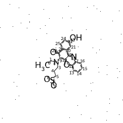 CCN(CCC=S(=O)=O)c1c2oc3ccccc3nc-2c2cc(O)ccc2c1=O